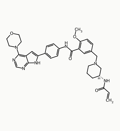 C=CC(=O)N[C@@H]1CCCN(Cc2ccc(OC)c(C(=O)Nc3ccc(-c4cc5c(N6CCOCC6)ncnc5[nH]4)cc3)c2)C1